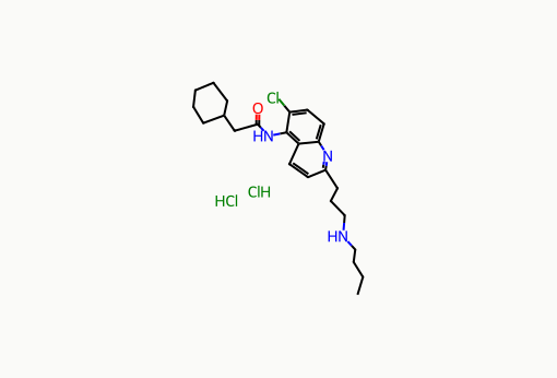 CCCCNCCCc1ccc2c(NC(=O)CC3CCCCC3)c(Cl)ccc2n1.Cl.Cl